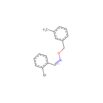 CCc1ccccc1/[C]=N\OCc1cccc(C(F)(F)F)c1